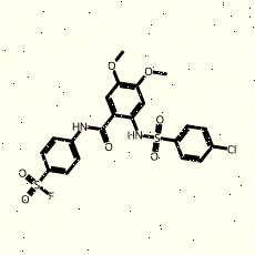 COc1cc(NS(=O)(=O)c2ccc(Cl)cc2)c(C(=O)Nc2ccc(S(=O)(=O)F)cc2)cc1OC